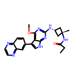 CCC(=O)N[C@]1(C)C[C@H](Nc2nc(OC)c3c(-c4ccc5nccnc5c4)c[nH]c3n2)C1